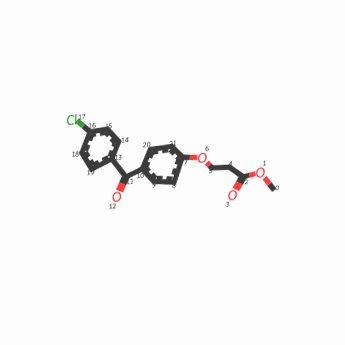 COC(=O)CCOc1ccc(C(=O)c2ccc(Cl)cc2)cc1